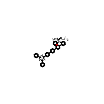 CCC1Nc2ccccc2N1c1ccccc1-c1ccc(-c2ccc(-c3ccc(-c4nc(-c5ccccc5)nc(-c5ccccc5)n4)cc3)cc2)cc1